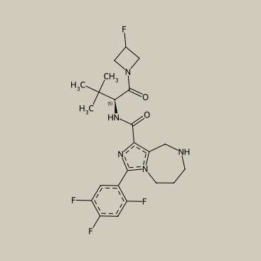 CC(C)(C)[C@H](NC(=O)c1nc(-c2cc(F)c(F)cc2F)n2c1CNCCC2)C(=O)N1CC(F)C1